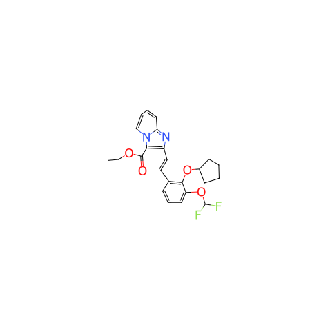 CCOC(=O)c1c(/C=C/c2cccc(OC(F)F)c2OC2CCCC2)nc2ccccn12